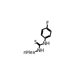 CCCCCCNC(=S)Nc1ccc(F)cc1